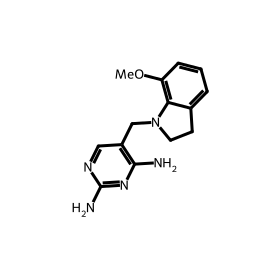 COc1cccc2c1N(Cc1cnc(N)nc1N)CC2